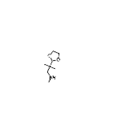 CNCC(C)(C)C1OCCO1